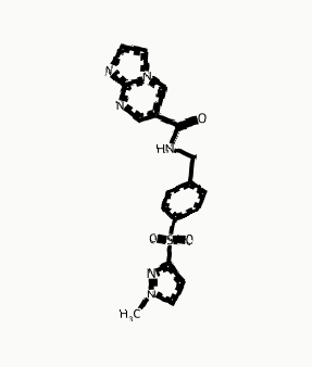 Cn1ccc(S(=O)(=O)c2ccc(CNC(=O)c3cnc4nccn4c3)cc2)n1